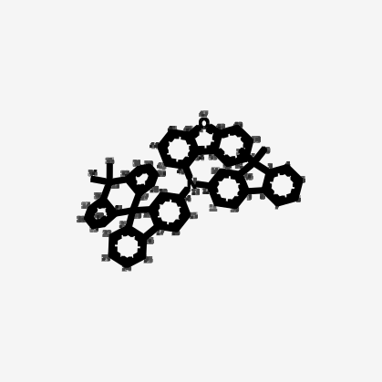 CC1(C)c2ccccc2-c2ccc(N(c3ccc4c(c3)C3(c5ccccc5-4)c4ccccc4C(C)(C)c4ccccc43)c3cccc4oc5ccccc5c34)cc21